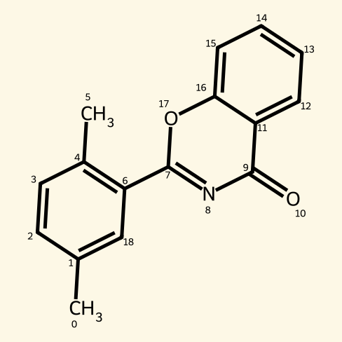 Cc1ccc(C)c(-c2nc(=O)c3ccccc3o2)c1